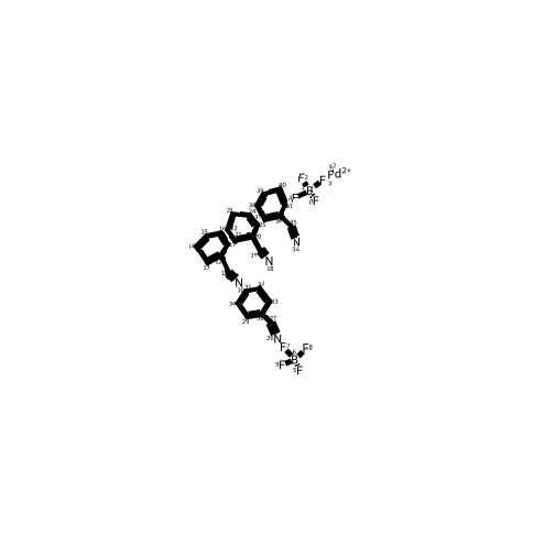 F[B-](F)(F)F.F[B-](F)(F)F.N#Cc1ccccc1.N#Cc1ccccc1.N#Cc1ccccc1.N#Cc1ccccc1.[Pd+2]